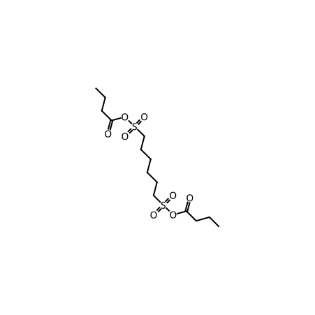 CCCC(=O)OS(=O)(=O)CCCCCCS(=O)(=O)OC(=O)CCC